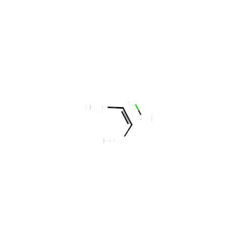 ClC(Cl)(Cl)Cl.O=C(O)/C=C\C(=O)O